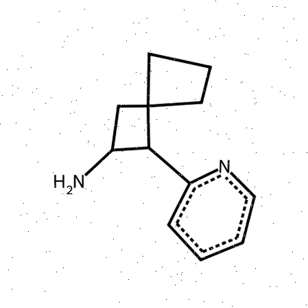 NC1CC2(CCC2)C1c1ccccn1